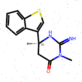 CN1C(=N)N[C@](C)(c2csc3ccccc23)CC1=O